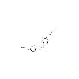 CCCNCCOc1ccc(NS(=O)(=O)c2ccc(OCCF)cc2)c(OC)n1.Cl